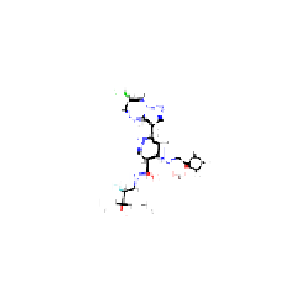 CC(C)(O)C(F)CNC(=O)c1cnc(-c2cnn3cc(Cl)cnc23)cc1NCC1(O)CCC1